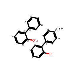 [Ca+2].[O-]c1ccccc1-c1ccccc1.[O-]c1ccccc1-c1ccccc1